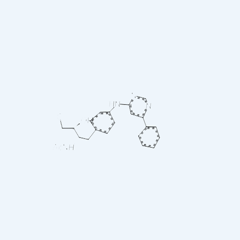 CC(=O)N[C@@H](Cc1ccc(Nc2cc(-c3ccccc3)ncn2)cc1)[C@H](O)CCl